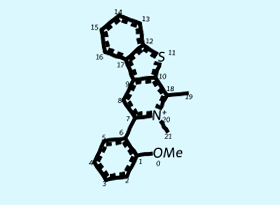 COc1ccccc1-c1cc2c(sc3ccccc32)c(C)[n+]1C